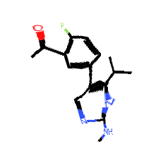 CNc1ncc(-c2ccc(F)c(C(C)=O)c2)c(C(C)C)n1